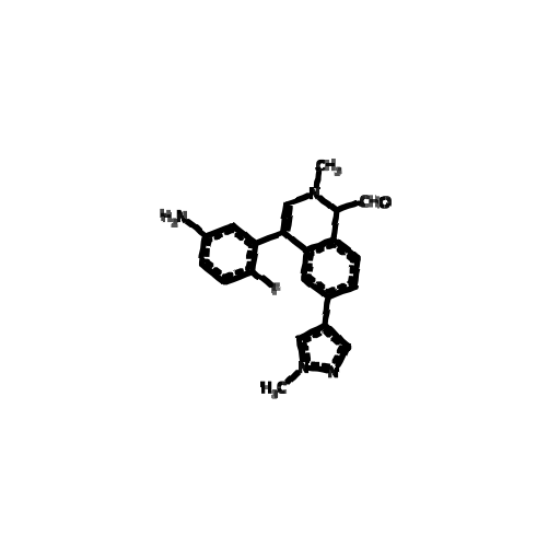 CN1C=C(c2cc(N)ccc2F)c2cc(-c3cnn(C)c3)ccc2C1C=O